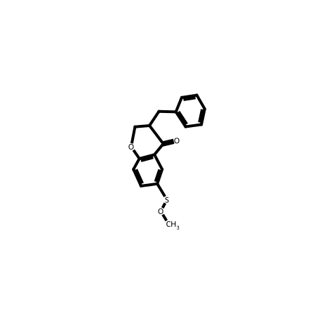 COSc1ccc2c(c1)C(=O)C(Cc1ccccc1)CO2